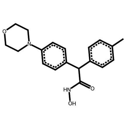 Cc1ccc(C(C(=O)NO)c2ccc(N3CCOCC3)cc2)cc1